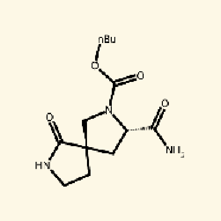 CCCCOC(=O)N1C[C@]2(CCNC2=O)C[C@H]1C(N)=O